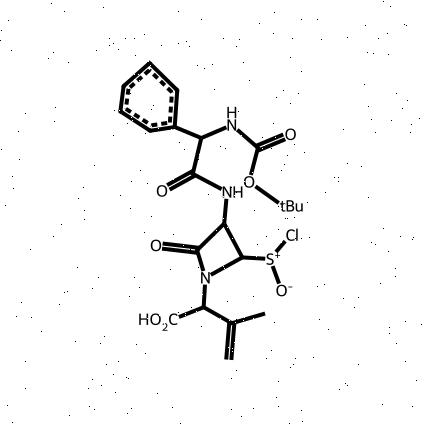 C=C(C)C(C(=O)O)N1C(=O)C(NC(=O)C(NC(=O)OC(C)(C)C)c2ccccc2)C1[S+]([O-])Cl